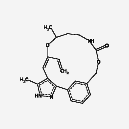 C=C/C1=C\c2c(n[nH]c2C)-c2cccc(c2)COC(=O)NCCC(C)O1